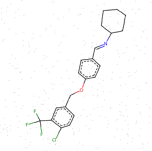 FC(F)(F)c1cc(COc2ccc(C=NC3CCCCC3)cc2)ccc1Cl